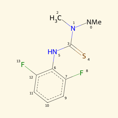 CNN(C)C(=S)Nc1c(F)cccc1F